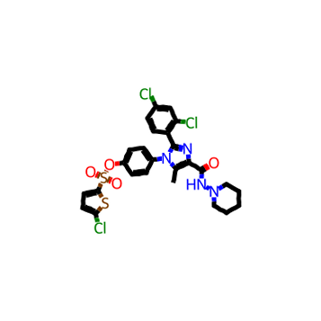 Cc1c(C(=O)NN2CCCCC2)nc(-c2ccc(Cl)cc2Cl)n1-c1ccc(OS(=O)(=O)c2ccc(Cl)s2)cc1